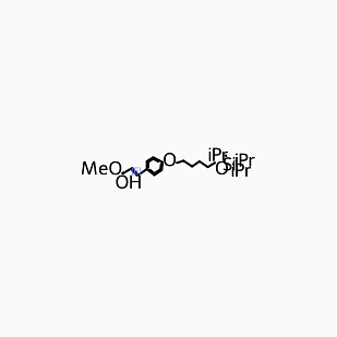 COC(O)/C=C/c1ccc(OCCCCCCO[Si](C(C)C)(C(C)C)C(C)C)cc1